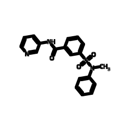 CN(c1ccccc1)S(=O)(=O)c1cccc(C(=O)Nc2cccnc2)c1